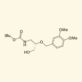 COc1ccc(CO[C@H](CO)CNC(=O)OC(C)(C)C)cc1OC